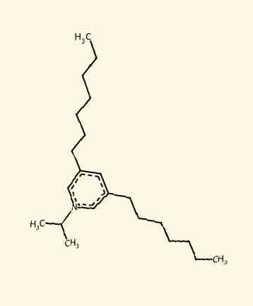 CCCCCCCc1cc(CCCCCCC)c[n+](C(C)C)c1